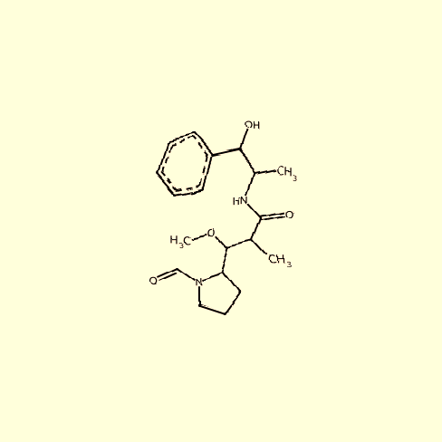 COC(C(C)C(=O)NC(C)C(O)c1ccccc1)C1CCCN1C=O